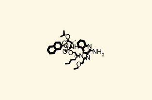 CCCC[C@@H](COP(=O)(N[C@@H](C)C(=O)OC(C)C)Oc1ccc2ccccc2c1)n1c(COCC)nc2c(N)nc3ccccc3c21